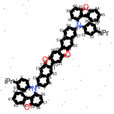 CC(C)c1ccc(N(c2ccc3cc4c(cc3c2)oc2cc3c(cc24)oc2cc4cc(N(c5ccc(C(C)C)cc5)c5cccc6oc7ccccc7c56)ccc4cc23)c2cccc3oc4ccccc4c23)cc1